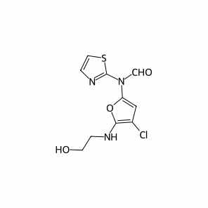 O=CN(c1cc(Cl)c(NCCO)o1)c1nccs1